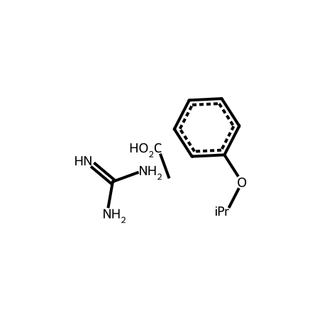 CC(=O)O.CC(C)Oc1ccccc1.N=C(N)N